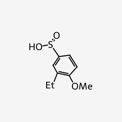 CCc1cc(S(=O)O)ccc1OC